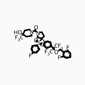 O=C(N1CCC(O)(C(F)(F)F)CC1)N1CC[C@](c2ccc(C(OCc3c(F)cccc3F)(C(F)(F)F)C(F)(F)F)cc2)(S(=O)(=O)c2ccc(F)cc2)C1